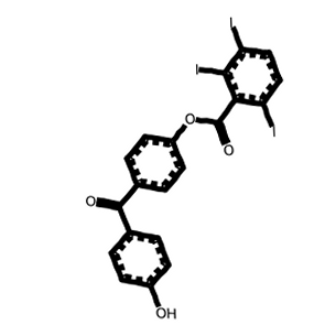 O=C(c1ccc(O)cc1)c1ccc(OC(=O)c2c(I)ccc(I)c2I)cc1